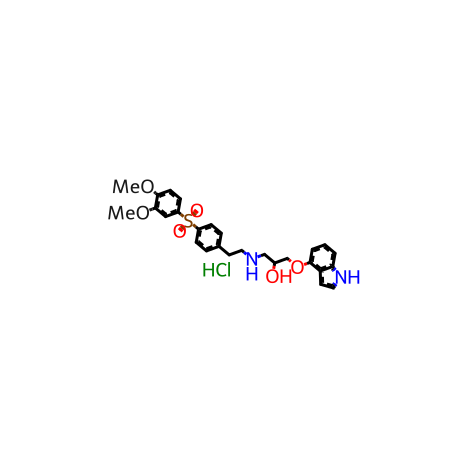 COc1ccc(S(=O)(=O)c2ccc(CCNCC(O)COc3cccc4[nH]ccc34)cc2)cc1OC.Cl